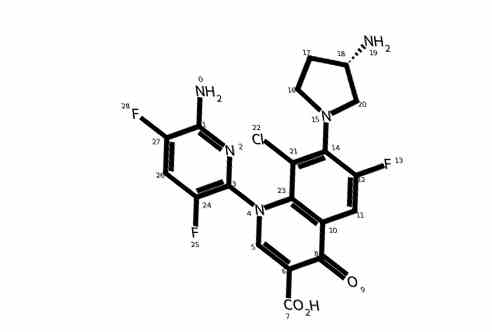 Nc1nc(-n2cc(C(=O)O)c(=O)c3cc(F)c(N4CC[C@H](N)C4)c(Cl)c32)c(F)cc1F